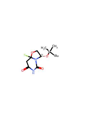 CC(C)(C)[Si](C)(C)O[C@H]1COC2(F)CC(=O)NC(=O)N12